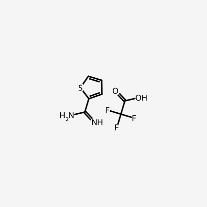 N=C(N)c1cccs1.O=C(O)C(F)(F)F